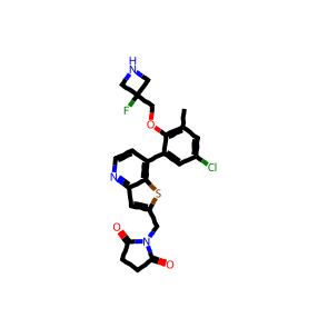 Cc1cc(Cl)cc(-c2ccnc3cc(CN4C(=O)CCC4=O)sc23)c1OCC1(F)CNC1